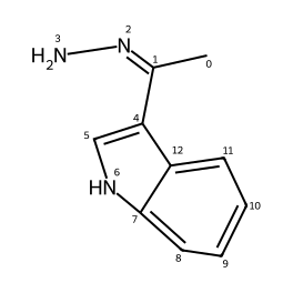 C/C(=N/N)c1c[nH]c2ccccc12